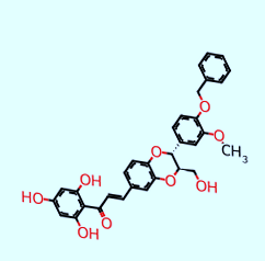 COc1cc([C@H]2Oc3ccc(/C=C/C(=O)c4c(O)cc(O)cc4O)cc3O[C@@H]2CO)ccc1OCc1ccccc1